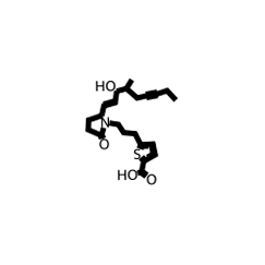 CCC#CCC(C)C(O)/C=C/C1CCC(=O)N1CCCc1ccc(C(=O)O)s1